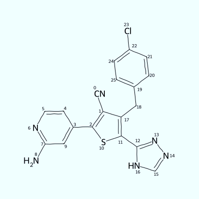 N#Cc1c(-c2ccnc(N)c2)sc(-c2nnc[nH]2)c1Cc1ccc(Cl)cc1